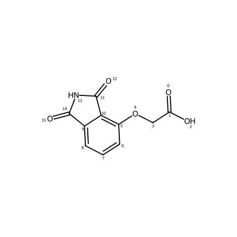 O=C(O)COc1cccc2c1C(=O)NC2=O